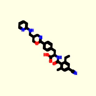 CCc1cc(C#N)cc(C)c1C(=O)NC(Cc1ccc(C2=NCC(CNc3ccccn3)CO2)cc1)C(=O)O